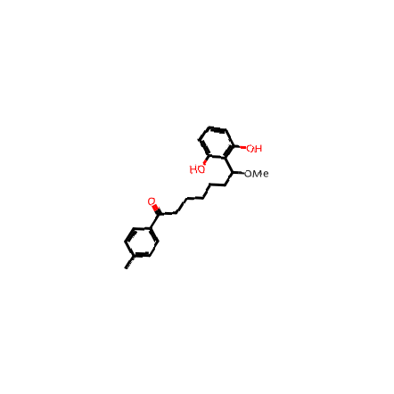 COC(CCCCCC(=O)c1ccc(C)cc1)c1c(O)cccc1O